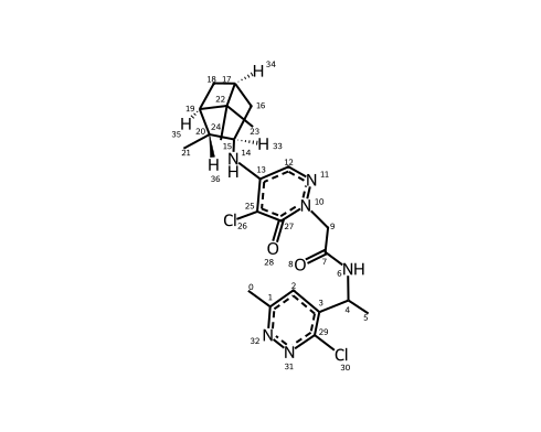 Cc1cc(C(C)NC(=O)Cn2ncc(N[C@@H]3C[C@@H]4C[C@H]([C@H]3C)C4(C)C)c(Cl)c2=O)c(Cl)nn1